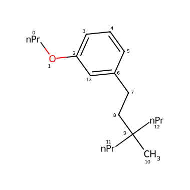 CCCOc1cccc(CCC(C)(CCC)CCC)c1